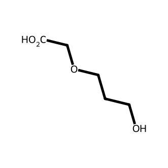 O=C(O)COCCCO